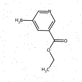 Bc1cncc(C(=O)OCC)c1